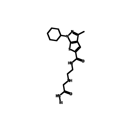 CCNC(=O)CNCCNC(=O)c1cc2c(C)nn(C3CCCCC3)c2s1